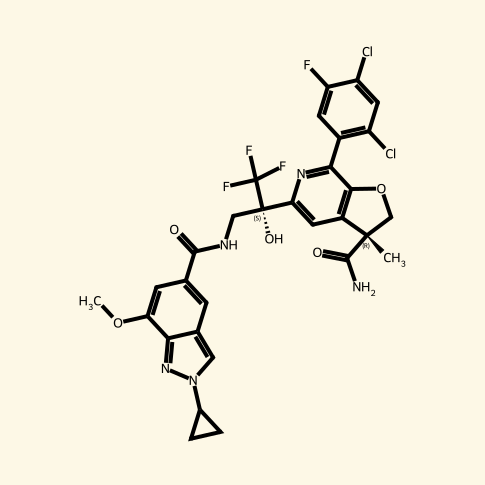 COc1cc(C(=O)NC[C@](O)(c2cc3c(c(-c4cc(F)c(Cl)cc4Cl)n2)OC[C@]3(C)C(N)=O)C(F)(F)F)cc2cn(C3CC3)nc12